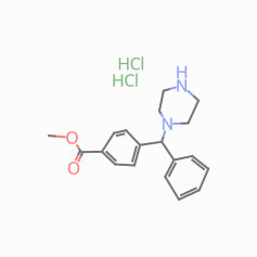 COC(=O)c1ccc(C(c2ccccc2)N2CCNCC2)cc1.Cl.Cl